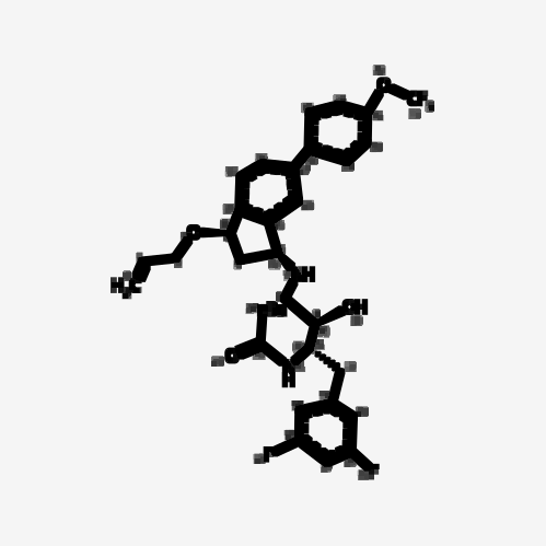 C=CCO[C@@H]1C[C@H](NC[C@@H](O)[C@H](Cc2cc(F)cc(F)c2)NC(=O)CCCC)c2cc(-c3ccc(OC(F)(F)F)cc3)ccc21